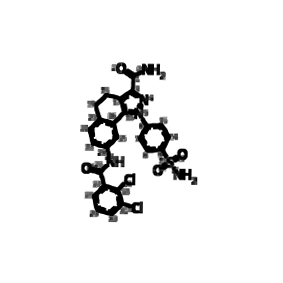 NC(=O)c1nn(-c2ccc(S(N)(=O)=O)cc2)c2c1CCc1ccc(NC(=O)c3cccc(Cl)c3Cl)cc1-2